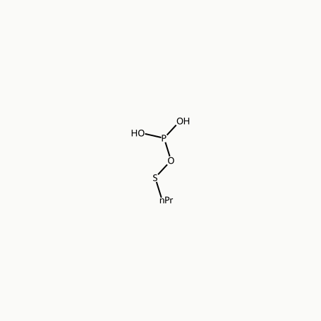 CCCSOP(O)O